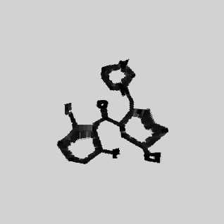 O=C(c1cc(Cl)ccc1-n1ccnc1)c1c(F)cccc1F